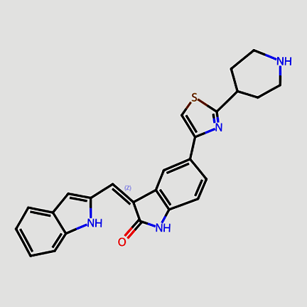 O=C1Nc2ccc(-c3csc(C4CCNCC4)n3)cc2/C1=C/c1cc2ccccc2[nH]1